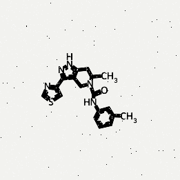 Cc1cccc(NC(=O)N2Cc3c(-c4cscn4)n[nH]c3CC2C)c1